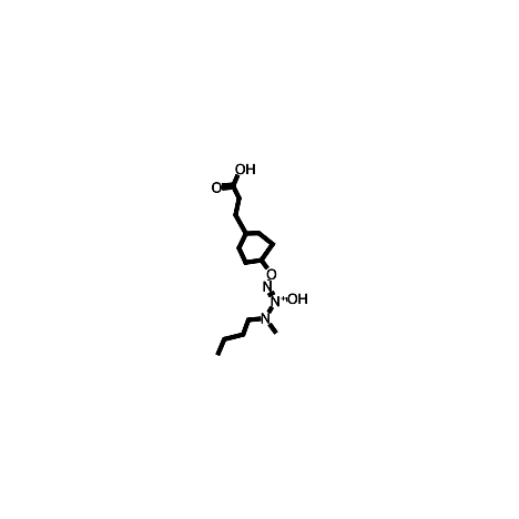 CCCCN(C)/[N+](O)=N/OC1CCC(CCC(=O)O)CC1